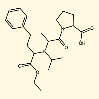 CCOC(=O)C(CCc1ccccc1)N(C(C)C)C(C)C(=O)N1CCCC1C(=O)O